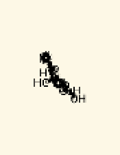 C#Cc1c(NC(=O)/C=C/c2cccnc2)sc2c1CCC(OC(=O)NCCO)C2